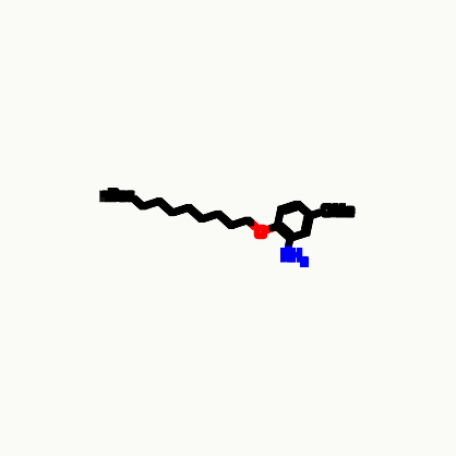 CCCCCCCCCCCCCCCCCCOc1ccc(OC)cc1N